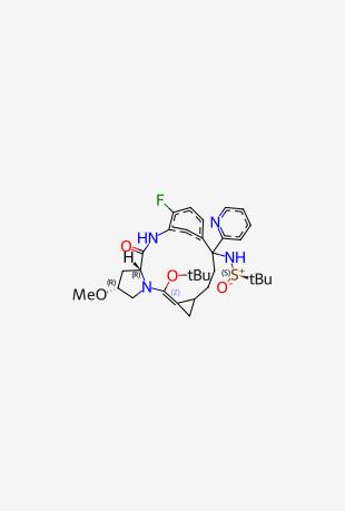 CO[C@@H]1C[C@@H]2C(=O)Nc3cc(ccc3F)C(N[S@+]([O-])C(C)(C)C)(c3ccccn3)CCC3C/C3=C(/OC(C)(C)C)N2C1